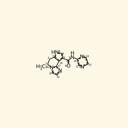 C[C@@H]1Cc2[nH]cc(C(=O)Nc3cnccn3)c2-c2nccn21